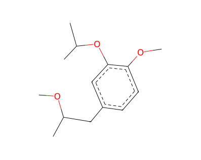 COc1ccc(CC(C)OC)cc1OC(C)C